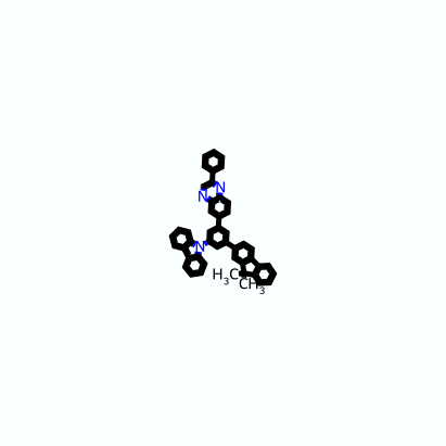 CC1(C)c2ccccc2-c2ccc(-c3cc(-c4ccc5nc(-c6ccccc6)cnc5c4)cc(-n4c5ccccc5c5ccccc54)c3)cc21